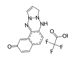 O=C(O)C(F)(F)F.O=C1C=Cc2ccc3c(c2=C1)=NN1C=CCN1N3